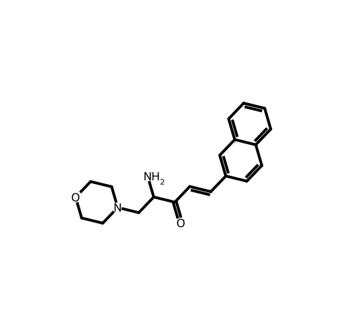 NC(CN1CCOCC1)C(=O)C=Cc1ccc2ccccc2c1